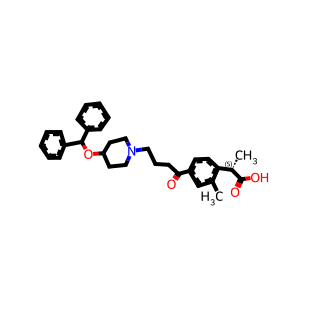 Cc1cc(C(=O)CCCN2CCC(OC(c3ccccc3)c3ccccc3)CC2)ccc1[C@H](C)C(=O)O